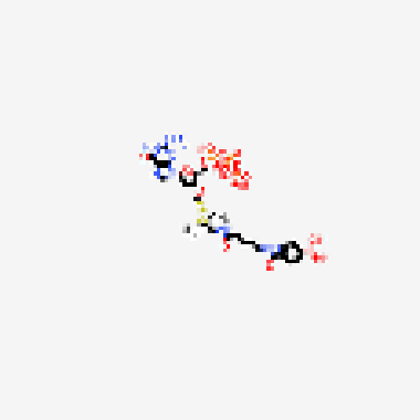 CC(C)(CNC(=O)CCCCNC(=O)c1ccc(B(O)O)cc1)SSCOC1C[C@H](n2cnc3c(=O)[nH]c(N)nc32)O[C@@H]1COP(=O)(O)OP(=O)(O)OP(=O)(O)O